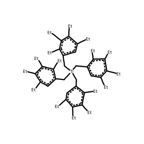 CCc1cc([CH2][Ti]([CH2]c2cc(CC)c(CC)c(CC)c2CC)([CH2]c2cc(CC)c(CC)c(CC)c2CC)[CH2]c2cc(CC)c(CC)c(CC)c2CC)c(CC)c(CC)c1CC